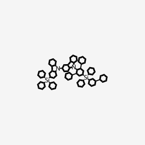 c1ccc(-c2cccc([Si](c3ccccc3)(c3ccccc3)c3cc(-c4ccccc4)c(-n4c5ccccc5c5cc(-n6c7ccccc7c7cc([Si](c8ccccc8)(c8ccccc8)c8ccccc8)ccc76)ccc54)c(-c4ccccc4)c3)c2)cc1